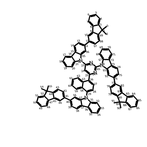 CC1(C)c2ccccc2-c2cc(-c3ccc4c5ccccc5n(-c5cc(-c6ccc(-n7c8ccccc8c8ccc(-c9ccc%10c(c9)-c9ccccc9C%10(C)C)cc87)c7ccccc67)nc(-n6c7ccccc7c7ccc(-c8ccc9c(c8)-c8ccccc8C9(C)C)cc76)n5)c4c3)ccc21